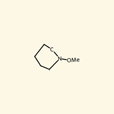 CON1[CH]CCCC1